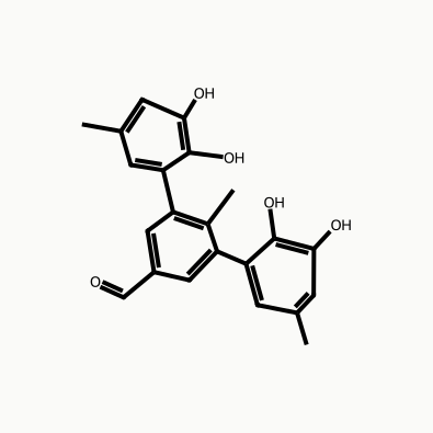 Cc1cc(O)c(O)c(-c2cc(C=O)cc(-c3cc(C)cc(O)c3O)c2C)c1